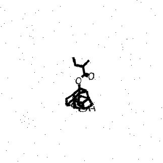 CCC(C)C(=O)OC12CC3CC45CC6(C3)C1CC(CC24)CC56O